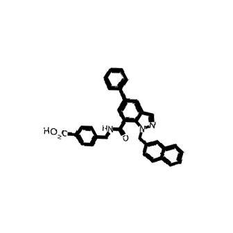 O=C(O)c1ccc(CNC(=O)c2cc(-c3ccccc3)cc3cnn(Cc4ccc5ccccc5c4)c23)cc1